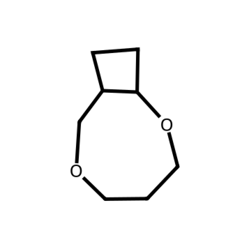 C1COCC2CCC2OC1